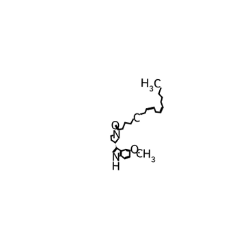 CCCCC/C=C\C/C=C\CCCCCCCC(=O)N1CC[C@@H](c2c[nH]c3ccc(OC)cc23)C1